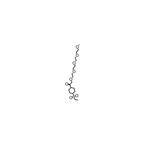 CCS(=O)(=O)C1CCC(C(=O)COCCOCCOCCOCCOC)CC1